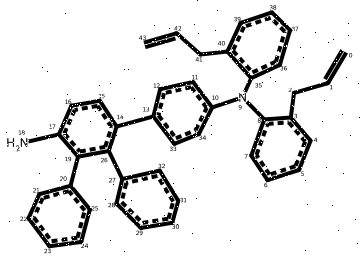 C=CCc1ccccc1N(c1ccc(-c2ccc(N)c(-c3ccccc3)c2-c2ccccc2)cc1)c1ccccc1CC=C